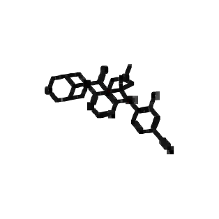 COCc1c(Nc2ccc(C#N)cc2Cl)ncnc1OC1C2COCC1CN(C(=O)OC1(C)CC1)C2